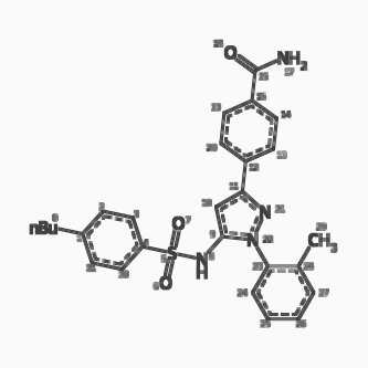 CCCCc1ccc(S(=O)(=O)Nc2cc(-c3ccc(C(N)=O)cc3)nn2-c2ccccc2C)cc1